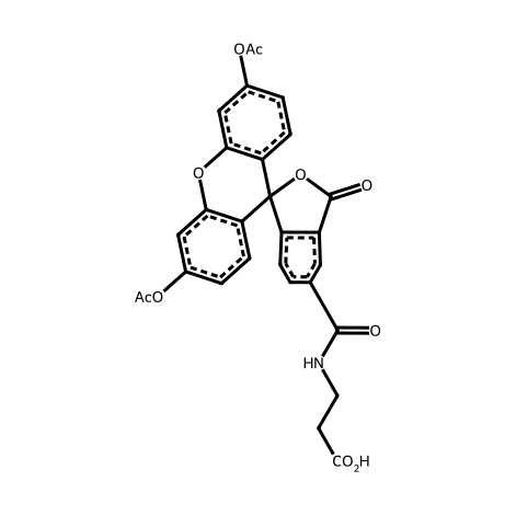 CC(=O)Oc1ccc2c(c1)Oc1cc(OC(C)=O)ccc1C21OC(=O)c2cc(C(=O)NCCC(=O)O)ccc21